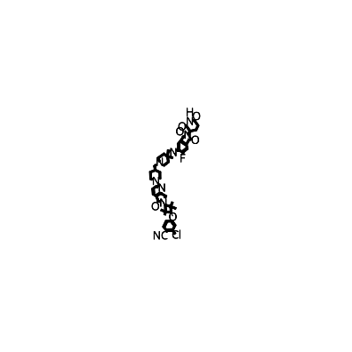 CC1(C)[C@H](Oc2ccc(C#N)c(Cl)c2)C(C)(C)[C@H]1N1Cc2nc(N3CCC(CN4CCC5(CC4)CN(c4cc6c(cc4F)C(=O)N(C4CCC(=O)NC4=O)C6=O)C5)CC3)ccc2C1=O